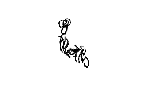 CC(c1ccc2c(c1)OCO2)N1CCN(c2nc(C(=O)NC3CCCCC3)cs2)CC1